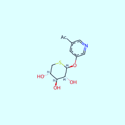 CC(=O)c1cncc(O[C@@H]2SC[C@@H](O)[C@H](O)[C@H]2O)c1